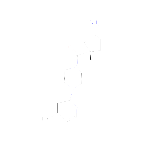 CC(C)[C@]1(C(=O)N2CCN(c3cc(C(F)(F)F)ccn3)CC2)C=C[C@@H](N)C1